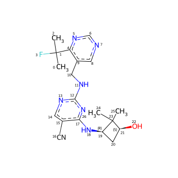 CC(C)(F)c1ncncc1CNc1ncc(C#N)c(N[C@@H]2C[C@H](O)C2(C)C)n1